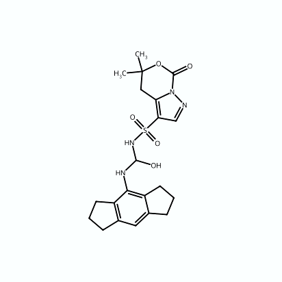 CC1(C)Cc2c(S(=O)(=O)NC(O)Nc3c4c(cc5c3CCC5)CCC4)cnn2C(=O)O1